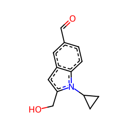 O=Cc1ccc2c(c1)cc(CO)n2C1CC1